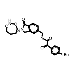 CC(C)(C)c1ccc(C(=O)C(=O)NCc2ccc3c(c2)CN([C@@H]2CCCONO2)C3=O)cc1